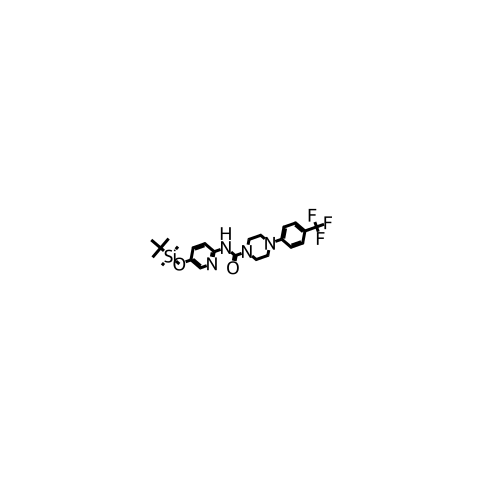 CC(C)(C)[Si](C)(C)Oc1ccc(NC(=O)N2CCN(c3ccc(C(F)(F)F)cc3)CC2)nc1